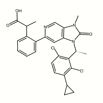 CC(C(=O)O)c1ccccc1-c1cc2c(cn1)n(C)c(=O)n2[C@H](C)c1c(Cl)ccc(C2CC2)c1Cl